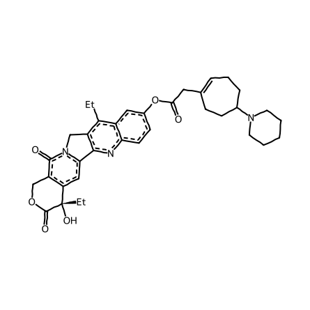 CCc1c2c(nc3ccc(OC(=O)CC4=CCCC(N5CCCCC5)CC4)cc13)-c1cc3c(c(=O)n1C2)COC(=O)[C@]3(O)CC